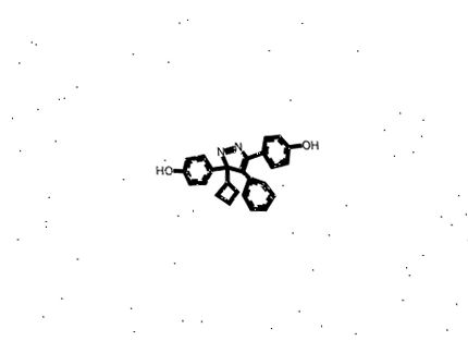 Oc1ccc(C2=C(c3ccccc3)C(c3ccc(O)cc3)(C3CCC3)N=N2)cc1